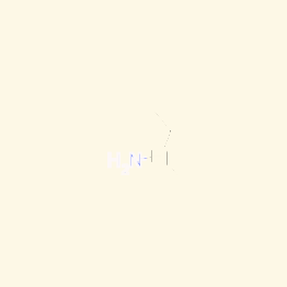 C[CH2][Hf]([CH3])[NH2]